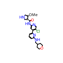 CO[C@H]1CNC[C@@H]1C(=O)Nc1cc(-c2cccc(NCC3CCOCC3)n2)c(Cl)cn1